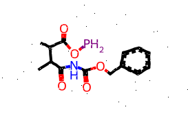 CC(C(=O)NC(=O)OCc1ccccc1)C(C)C(=O)OP